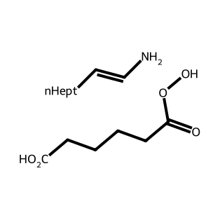 CCCCCCCC=CN.O=C(O)CCCCC(=O)OO